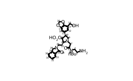 CCCCN(CCN)C(=O)CN1C[C@H](c2cc(CO)c3c(c2)OCO3)[C@@H](C(=O)O)[C@@H]1CCN1Cc2ccccc2C1=O